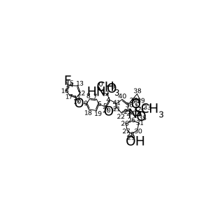 CNC(=O)c1c(-c2ccc(Oc3ccc(F)cc3)cc2)oc2cc(N([C@H]3CC[C@@H](O)CC3)S(C)(=O)=O)c(C3CC3)cc12